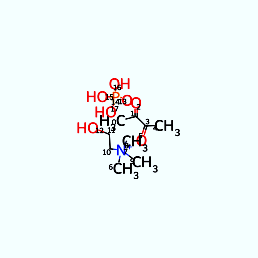 CC(=O)C(C)=O.C[N+](C)(C)CCO.O=P(O)(O)O